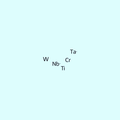 [Cr].[Nb].[Ta].[Ti].[W]